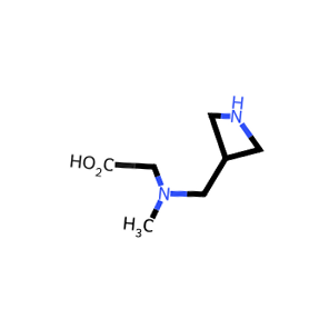 CN(CC(=O)O)CC1CNC1